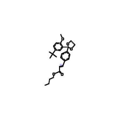 CCCCOC(=O)/C=C/c1ccc(C2(c3cc(C(C)(C)C)ccc3OC)OCCO2)cc1